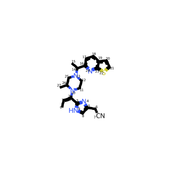 C/C=C(\c1nc(CC#N)c[nH]1)N1CCN(C(C)c2ccc3ccsc3n2)CC1C